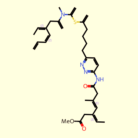 C=C/C=C\C(=C/C)CC(=C)N(C)C(=C)SC(=C)CCCCc1ccc(NC(=O)C/C(C)=C/C(=C\C)CC(=O)OC)nn1